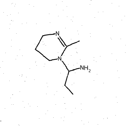 CCC(N)N1CCCN=C1C